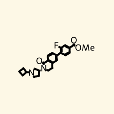 COC(=O)c1ccc(-c2ccc3c(c2)CCN([C@@H]2CCN(C4CCC4)C2)C3=O)c(F)c1